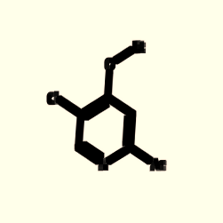 CCOc1cc(C(C)=O)ncc1Cl